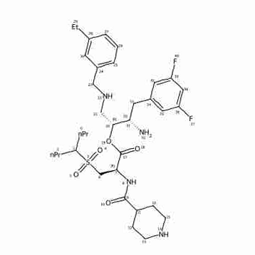 CCCC(CCC)S(=O)(=O)C[C@H](NC(=O)C1CCNCC1)C(=O)O[C@H](CNCc1cccc(CC)c1)[C@@H](N)Cc1cc(F)cc(F)c1